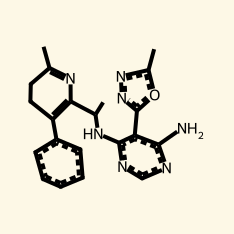 CC1=NC(C(C)Nc2ncnc(N)c2-c2nnc(C)o2)=C(c2ccccc2)CC1